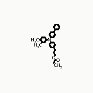 C=CC(=O)OCCCc1ccc(N(c2ccc(-c3ccccc3)cc2)c2ccc(C)c(C)c2)cc1